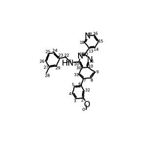 COc1cccc(-c2ccc3nc(-c4cccnc4)nc(NCc4cccc(C)c4)c3c2)c1